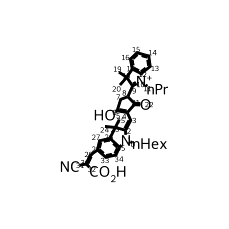 CCCCCCN1C(=CC2=C(O)CC(C3=[N+](CCC)c4ccccc4C3(C)C)C2=O)C(C)(C)c2cc(/C=C(/C#N)C(=O)O)ccc21